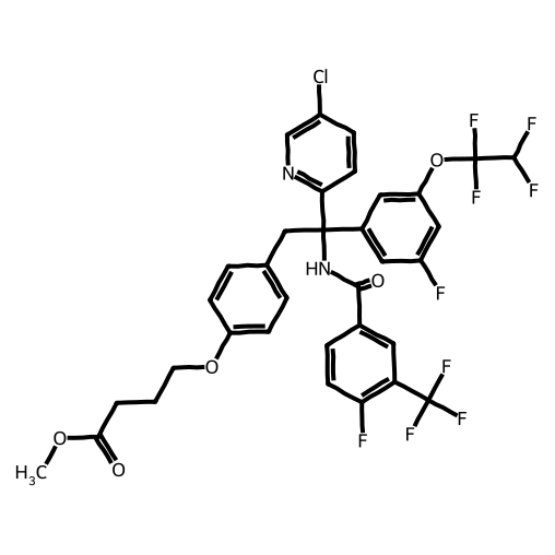 COC(=O)CCCOc1ccc(CC(NC(=O)c2ccc(F)c(C(F)(F)F)c2)(c2cc(F)cc(OC(F)(F)C(F)F)c2)c2ccc(Cl)cn2)cc1